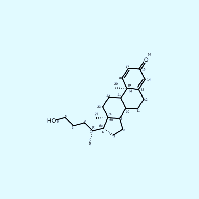 C[C@H](CCCO)[C@H]1CCC2C3CCC4=CC(=O)C=C[C@]4(C)C3CC[C@@]21C